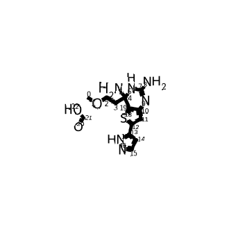 COCCC1(N)NC(N)=Nc2cc(-c3ccn[nH]3)sc21.O=CO